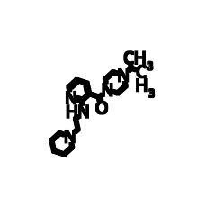 CC(C)N1CCN(C(=O)c2cccnc2NCCN2CCCCC2)CC1